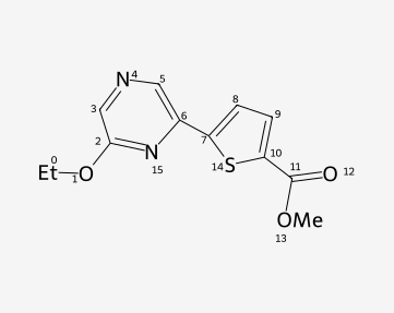 CCOc1cncc(-c2ccc(C(=O)OC)s2)n1